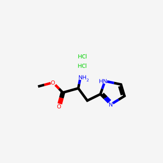 COC(=O)C(N)Cc1ncc[nH]1.Cl.Cl